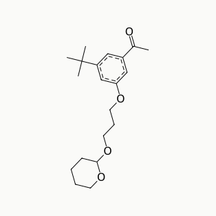 CC(=O)c1cc(OCCCOC2CCCCO2)cc(C(C)(C)C)c1